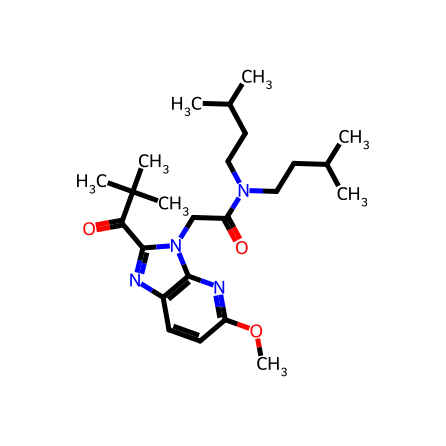 COc1ccc2nc(C(=O)C(C)(C)C)n(CC(=O)N(CCC(C)C)CCC(C)C)c2n1